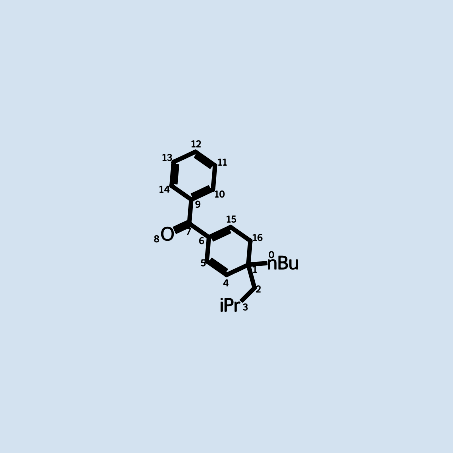 CCCCC1(CC(C)C)C=CC(C(=O)c2ccccc2)=CC1